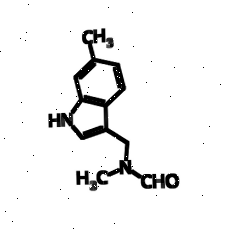 Cc1ccc2c(CN(C)C=O)c[nH]c2c1